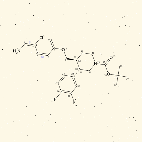 C=C(/C=C\C(Cl)=C/N)OC[C@H]1CCN(C(=O)OC(C)(C)C)C[C@@H]1c1ccc(F)c(F)c1